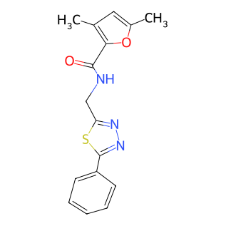 Cc1cc(C)c(C(=O)NCc2nnc(-c3ccccc3)s2)o1